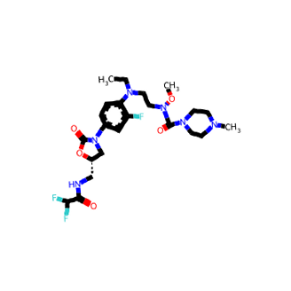 CCN(CCN(OC)C(=O)N1CCN(C)CC1)c1ccc(N2C[C@H](CNC(=O)C(F)F)OC2=O)cc1F